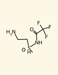 C[SH](=O)(CCN)NC(=O)C(F)(F)F